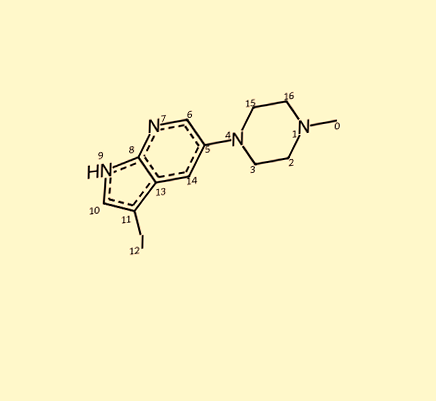 CN1CCN(c2cnc3[nH]cc(I)c3c2)CC1